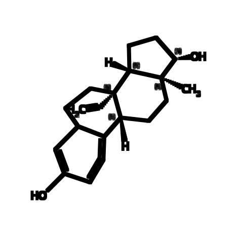 C=C[C@@]12CCC3C=C(O)C=C=C3[C@H]1CC[C@@]1(C)[C@H]2CC[C@@H]1O